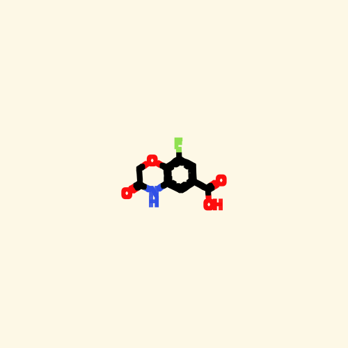 O=C1COc2c(F)cc(C(=O)O)cc2N1